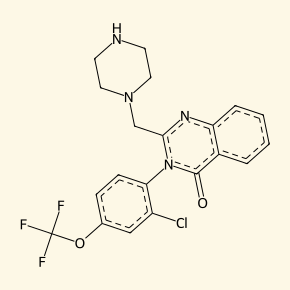 O=c1c2ccccc2nc(CN2CCNCC2)n1-c1ccc(OC(F)(F)F)cc1Cl